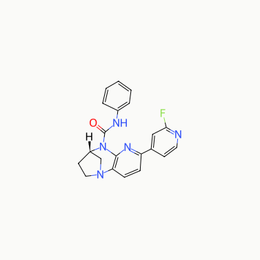 O=C(Nc1ccccc1)N1c2nc(-c3ccnc(F)c3)ccc2N2CC[C@H]1C2